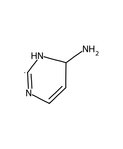 NC1C=CN=[C]N1